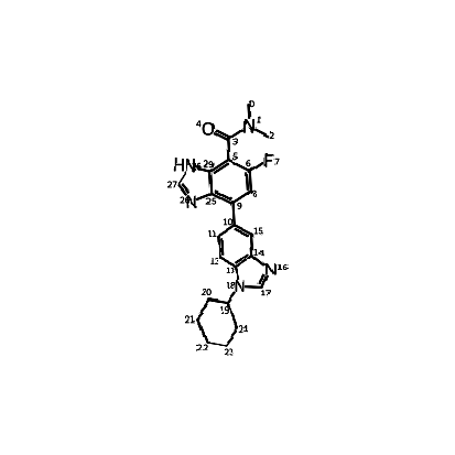 CN(C)C(=O)c1c(F)cc(-c2ccc3c(c2)ncn3C2CCCCC2)c2nc[nH]c12